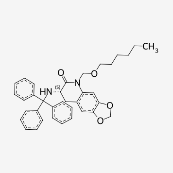 CCCCCCOCN1C(=O)[C@@H](NC(c2ccccc2)(c2ccccc2)c2ccccc2)Cc2cc3c(cc21)OCO3